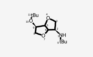 CC(C)(C)N[C@@H]1COC2C1OC[C@H]2OC(C)(C)C